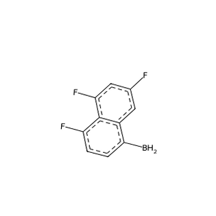 Bc1ccc(F)c2c(F)cc(F)cc12